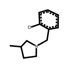 CC1CCN(Cc2ccccc2Cl)C1